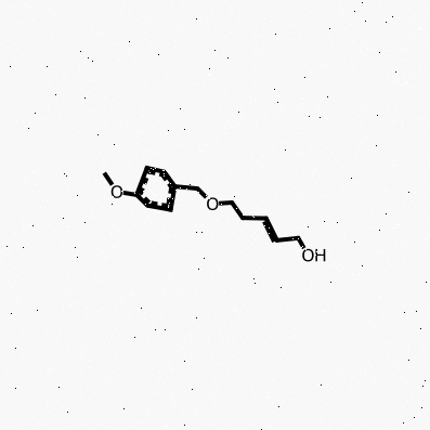 COc1ccc(COCCC=CCO)cc1